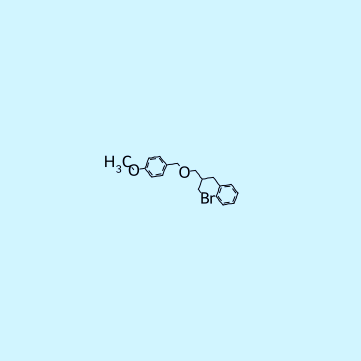 COc1ccc(COCC(CBr)Cc2ccccc2)cc1